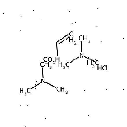 C=CC(=O)O.CN(C)C.CN(C)C.Cl